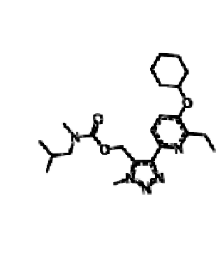 CCc1nc(-c2nnn(C)c2COC(=O)N(C)CC(C)C)ccc1OC1CCCCC1